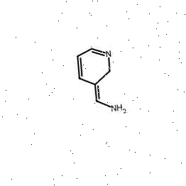 N/C=C1/C=C[C]=NC1